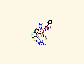 CC1(c2cc(NC(=O)c3cc(-c4ccccc4)on3)ccc2F)CCSC(N)=N1